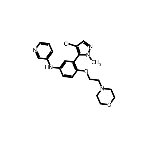 Cn1ncc(Cl)c1-c1cc(Nc2cccnc2)ccc1OCCN1CCOCC1